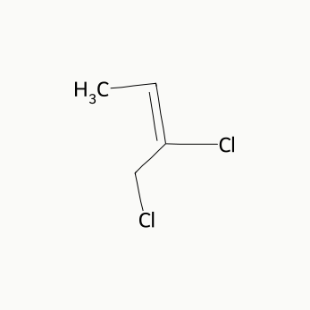 C/C=C(/Cl)CCl